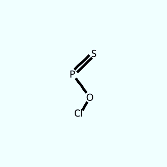 S=POCl